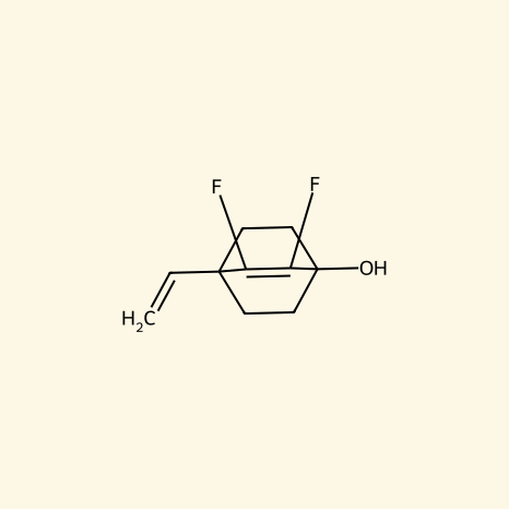 C=CC12CCC(O)(CC1)C(F)=C2F